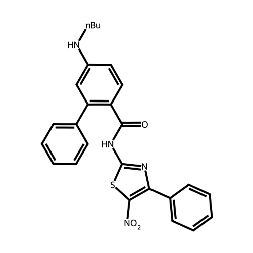 CCCCNc1ccc(C(=O)Nc2nc(-c3ccccc3)c([N+](=O)[O-])s2)c(-c2ccccc2)c1